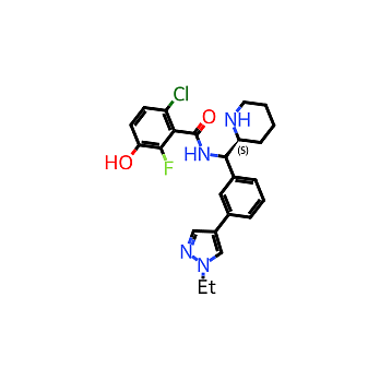 CCn1cc(-c2cccc(C(NC(=O)c3c(Cl)ccc(O)c3F)[C@@H]3CCCCN3)c2)cn1